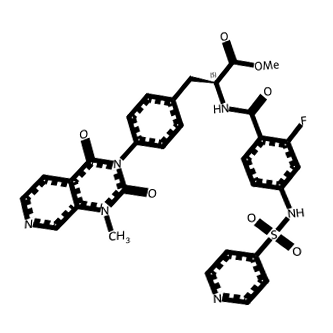 COC(=O)[C@H](Cc1ccc(-n2c(=O)c3ccncc3n(C)c2=O)cc1)NC(=O)c1ccc(NS(=O)(=O)c2ccncc2)cc1F